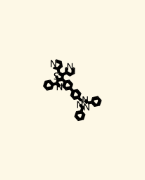 c1ccc(-c2nc(-c3ccccc3)nc(-c3ccc(-c4ccc5c(c4)nc(-c4ccccc4)c4sc(-c6cccnc6)c(-c6cccnc6)c45)cc3)n2)cc1